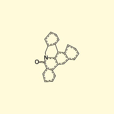 O=c1c2ccccc2c2cc3ccccc3c3c2n1Cc1ccccc1-3